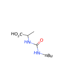 CCCCNC(=O)NC(C)C(=O)O